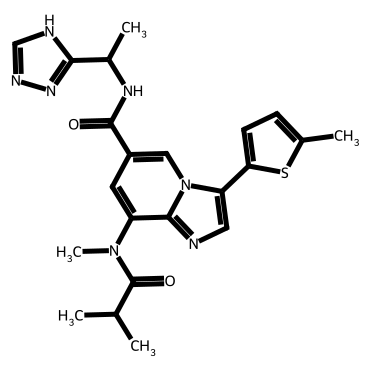 Cc1ccc(-c2cnc3c(N(C)C(=O)C(C)C)cc(C(=O)NC(C)c4nnc[nH]4)cn23)s1